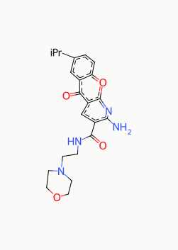 CC(C)c1ccc2oc3nc(N)c(C(=O)NCCN4CCOCC4)cc3c(=O)c2c1